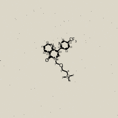 C[Si](C)(C)CCOCn1cc(-c2ccc(C(F)(F)F)cn2)c2ncccc2c1=O